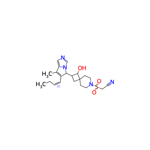 CC/C=C\C1=C(C)c2cncn2C1C1CC2(CCN(S(=O)(=O)CC#N)CC2)C1O